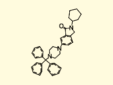 O=C1c2cc(N3CCN(C(c4ccccc4)(c4ccccc4)c4ccccc4)CC3)ccc2CN1C1CCCCC1